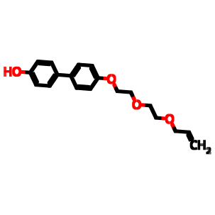 C=CCOCCOCCOc1ccc(-c2ccc(O)cc2)cc1